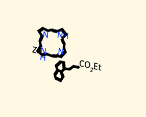 C1=Cc2cc3ccc(cc4nc(cc5ccc(cc1n2)[nH]5)C=C4)[nH]3.CCOC(=O)CCCc1cccc2ccccc12.[Zn]